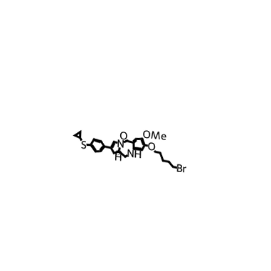 COc1cc2c(cc1OCCCCCBr)NC[C@@H]1CC(c3ccc(SC4CC4)cc3)=CN1C2=O